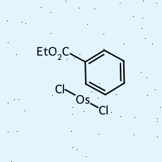 CCOC(=O)c1ccccc1.[Cl][Os][Cl]